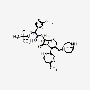 CC1=NN=C(C2=C(C[N+]34CCNC(CC3)CC4)CS[C@@H]3[C@H](NC(=O)/C(=N\OC(C)(C)C(=O)O)c4csc(N)n4)C(=O)N23)NCC1